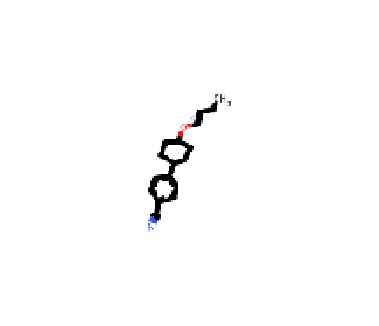 CC/C=C/OC1CCC(c2ccc(C#N)cc2)CC1